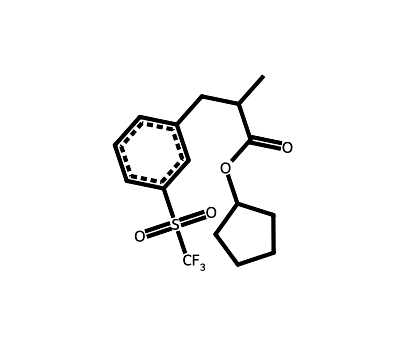 CC(Cc1cccc(S(=O)(=O)C(F)(F)F)c1)C(=O)OC1CCCC1